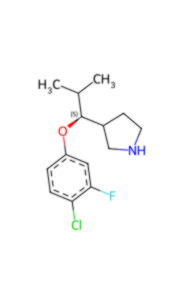 CC(C)[C@H](Oc1ccc(Cl)c(F)c1)C1CCNC1